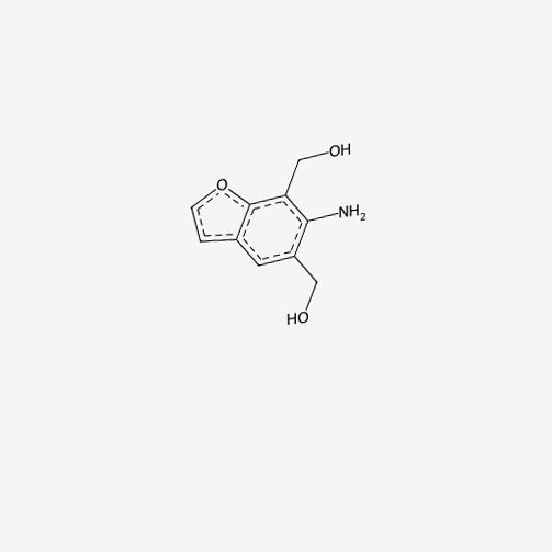 Nc1c(CO)cc2ccoc2c1CO